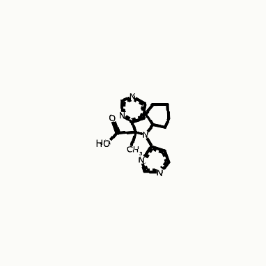 CC(C(=O)O)(c1ccncn1)N(c1ccncn1)C1CCCCC1